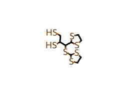 SCC(S)C(SC1SCCS1)C1SCCS1